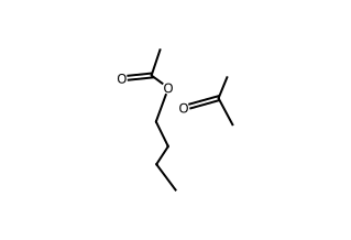 CC(C)=O.CCCCOC(C)=O